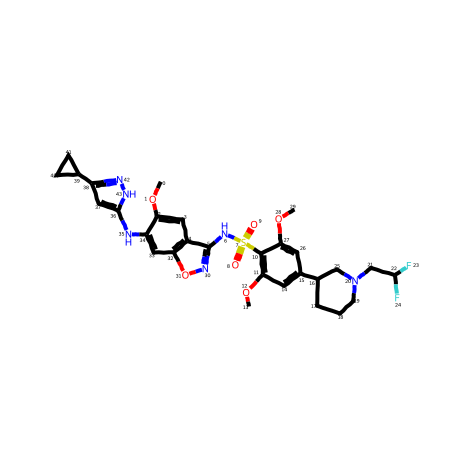 COc1cc2c(NS(=O)(=O)c3c(OC)cc(C4CCCN(CC(F)F)C4)cc3OC)noc2cc1Nc1cc(C2CC2)n[nH]1